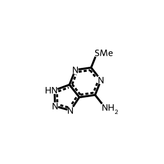 CSc1nc(N)c2nn[nH]c2n1